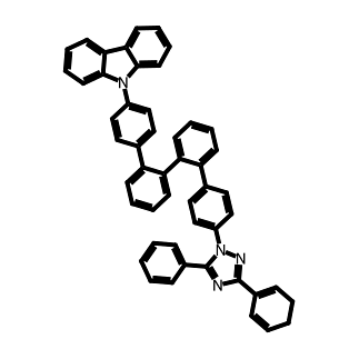 C1=CC(c2nc(-c3ccccc3)n(-c3ccc(-c4ccccc4-c4ccccc4-c4ccc(-n5c6ccccc6c6ccccc65)cc4)cc3)n2)=CCC1